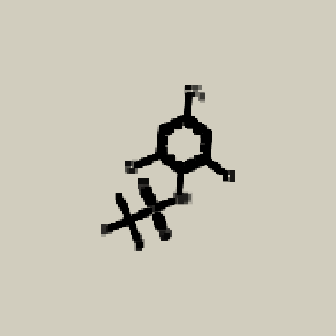 CC(F)(F)S(=O)(=O)Nc1c(Cl)cc(C(F)(F)F)cc1Cl